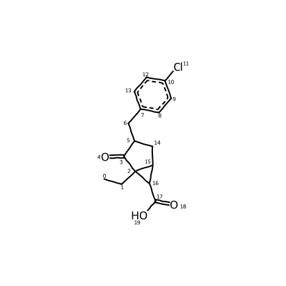 CCC12C(=O)C(Cc3ccc(Cl)cc3)CC1C2C(=O)O